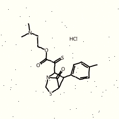 Cc1ccc(C2C3SCN(C3=O)C2C(=S)C(=O)OCCN(C)C)cc1.Cl